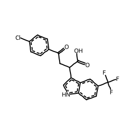 O=C(CC(C(=O)O)c1c[nH]c2ccc(C(F)(F)F)cc12)c1ccc(Cl)cc1